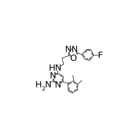 Cc1cccc(-c2cc(NCCc3nnc(-c4ccc(F)cc4)o3)nc(N)n2)c1C